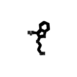 Nc1c(OCCO)nn2ccccc12